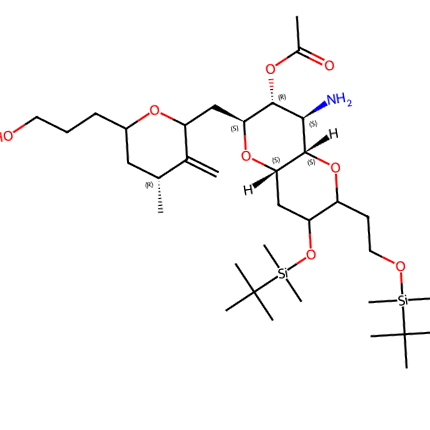 C=C1C(C[C@@H]2O[C@H]3CC(O[Si](C)(C)C(C)(C)C)C(CCO[Si](C)(C)C(C)(C)C)O[C@H]3[C@H](N)[C@H]2OC(C)=O)OC(CCCO)C[C@H]1C